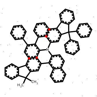 CC1(C)c2ccccc2-c2ccc(-c3c(N(c4ccc5c(c4)C(c4ccccc4)(c4ccccc4)c4ccccc4-5)c4cccc(-c5ccccc5)c4-c4ccccc4)ccc4ccccc34)cc21